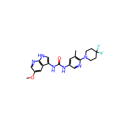 COc1cnc2[nH]cc(NC(=O)Nc3cnc(N4CCC(F)(F)CC4)c(C)c3)c2c1